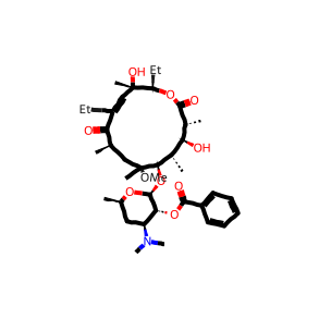 CC/C1=C\[C@](C)(O)[C@@H](CC)OC(=O)[C@H](C)[C@@H](O)[C@H](C)[C@@H](O[C@@H]2O[C@H](C)C[C@H](N(C)C)[C@H]2OC(=O)c2ccccc2)[C@@](C)(OC)C[C@@H](C)C1=O